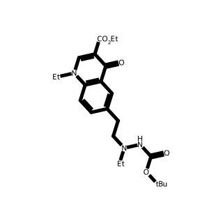 CCOC(=O)c1cn(CC)c2ccc(CCN(CC)NC(=O)OC(C)(C)C)cc2c1=O